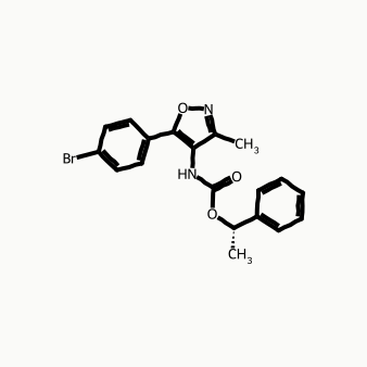 Cc1noc(-c2ccc(Br)cc2)c1NC(=O)O[C@@H](C)c1ccccc1